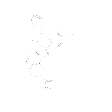 COC(=O)N1CCc2ccc3c(nc(-c4ccc(C(=O)O)c(OC)c4)n3[C@@H](C)Cc3ccccc3)c2C1